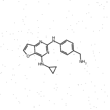 NCc1ccc(Nc2nc(NC3CC3)c3occc3n2)cc1